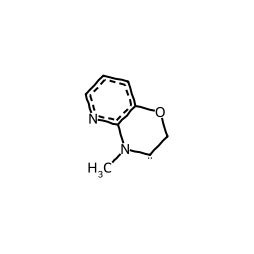 CN1[C]COc2cccnc21